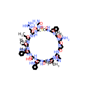 CCCC[C@H]1C(=O)N(C)[C@@H](CCCC)C(=O)N[C@@H](CCCNC(=N)N)C(=O)N[C@H](C(=O)NCC(N)=O)C[S+]([O-])CC(=O)N[C@@H](Cc2ccccc2)C(=O)N(C)[C@@H](C)C(=O)N[C@@H](CC(N)=O)C(=O)N2CCCC2C(=O)N[C@@H](Cc2cnc[nH]2)C(=O)N[C@@H](CC(C)C)C(=O)N(C)CC(=O)N[C@@H](Cc2c[nH]c3ccccc23)C(=O)N[C@@H](CO)C(=O)N[C@@H](Cc2c[nH]c3ccccc23)C(=O)N1C